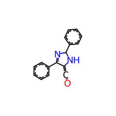 O=C=C1NC(c2ccccc2)N=C1c1ccccc1